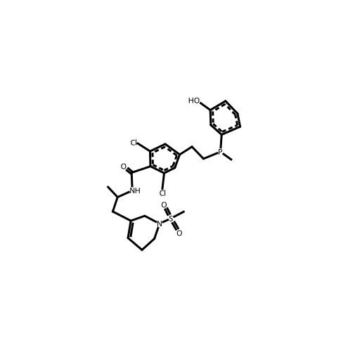 CC(CC1=CCCN(S(C)(=O)=O)C1)NC(=O)c1c(Cl)cc(CCP(C)c2cccc(O)c2)cc1Cl